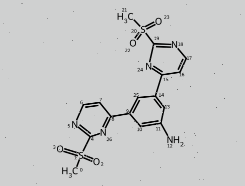 CS(=O)(=O)c1nccc(-c2cc(N)cc(-c3ccnc(S(C)(=O)=O)n3)c2)n1